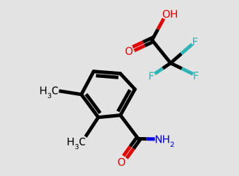 Cc1cccc(C(N)=O)c1C.O=C(O)C(F)(F)F